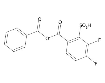 O=C(OC(=O)c1ccc(F)c(F)c1S(=O)(=O)O)c1ccccc1